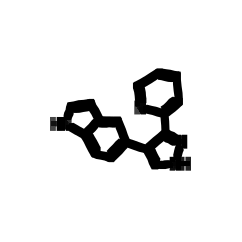 c1ccc(-c2n[nH]cc2-c2ccc3[nH]ccc3c2)nc1